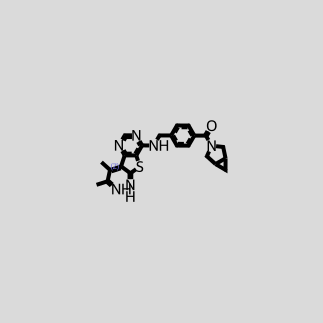 CC(=N)/C(C)=C1\C(=N)Sc2c(NCc3ccc(C(=O)N4CC5CC5C4)cc3)ncnc21